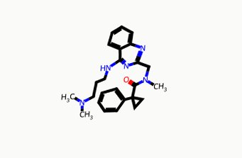 CN(C)CCCNc1nc(CN(C)C(=O)C2(c3ccccc3)CC2)nc2ccccc12